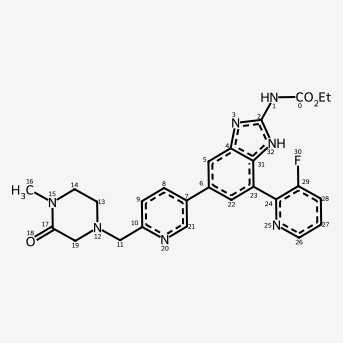 CCOC(=O)Nc1nc2cc(-c3ccc(CN4CCN(C)C(=O)C4)nc3)cc(-c3ncccc3F)c2[nH]1